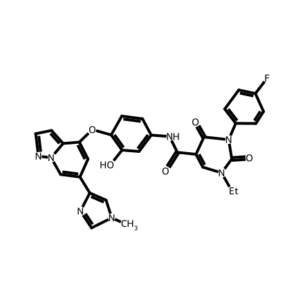 CCn1cc(C(=O)Nc2ccc(Oc3cc(-c4cn(C)cn4)cn4nccc34)c(O)c2)c(=O)n(-c2ccc(F)cc2)c1=O